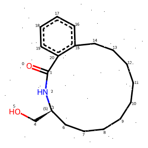 O=C1N[C@H](CO)CCCCCCCCCc2ccccc21